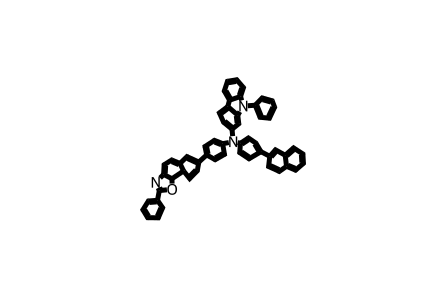 C1=CC2C(=CC=C3N=C(c4ccccc4)OC32)C=C1c1ccc(N(c2ccc(-c3ccc4ccccc4c3)cc2)c2ccc3c4ccccc4n(-c4ccccc4)c3c2)cc1